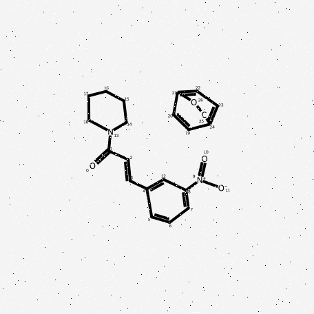 O=C(C=Cc1cccc([N+](=O)[O-])c1)N1CCCCC1.c1cc2ccc1CO2